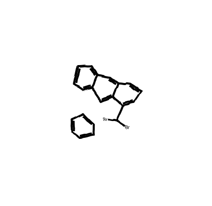 BrC(Br)c1cccc2cc3ccccc3cc12.c1ccccc1